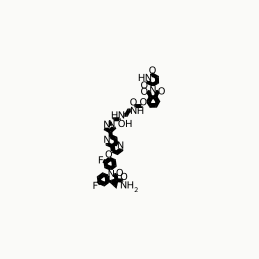 NC(=O)C1(C(=O)N(c2ccc(F)cc2)c2ccc(Oc3ccnc4cc(-c5cnn(CC(O)NCCNC(=O)COc6cccc7c6C(=O)N(C6CCC(=O)NC6=O)C7=O)c5)ncc34)c(F)c2)CC1